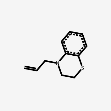 C=CCN1C[C]Sc2ccccc21